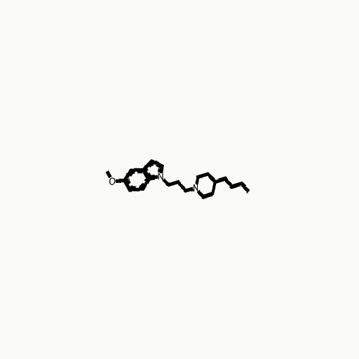 CCCCC1CCN(CCCn2ccc3cc(OC)ccc32)CC1